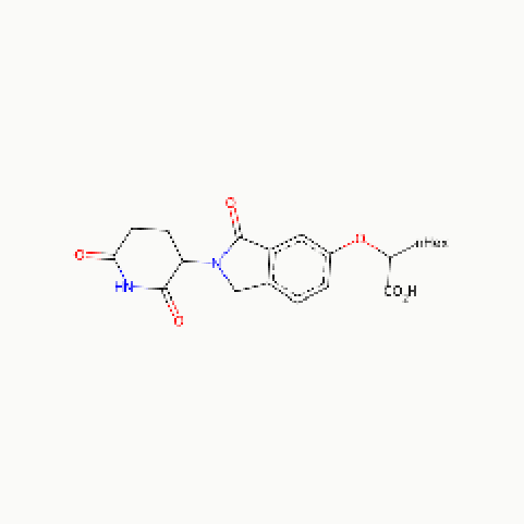 CCCCCCC(Oc1ccc2c(c1)C(=O)N(C1CCC(=O)NC1=O)C2)C(=O)O